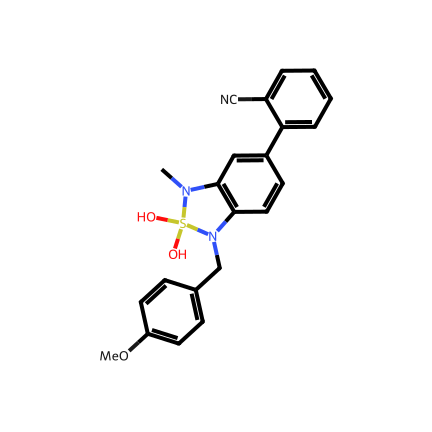 COc1ccc(CN2c3ccc(-c4ccccc4C#N)cc3N(C)S2(O)O)cc1